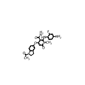 CC(=O)N1CCc2cc(Oc3cc(=O)n(C)c(Nc4ccc(N)cc4F)c3C(N)=O)ccc21